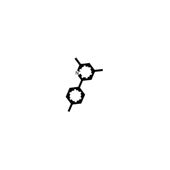 Cc1ccc(-c2cc(C)cc(C)n2)cc1